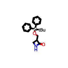 CC(C)(C)[Si](OCC1CNC1=O)(c1ccccc1)c1ccccc1